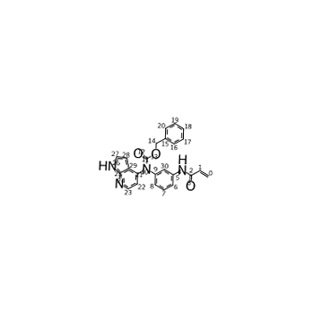 C=CC(=O)Nc1cccc(N(C(=O)OCc2ccccc2)c2ccnc3[nH]ccc23)c1